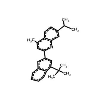 Cc1cc(-c2cc(C(C)(C)C)c3ccccc3c2)nc2cc(C(C)C)ccc12